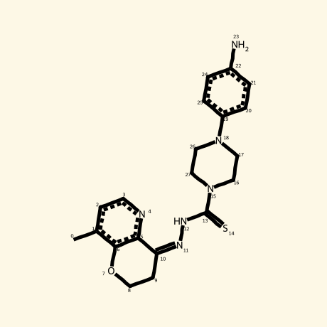 Cc1ccnc2c1OCC/C2=N/NC(=S)N1CCN(c2ccc(N)cc2)CC1